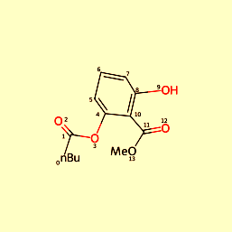 [CH2]CCCC(=O)Oc1cccc(O)c1C(=O)OC